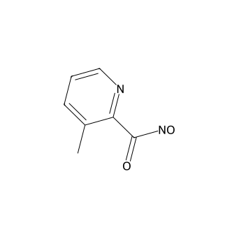 Cc1cccnc1C(=O)N=O